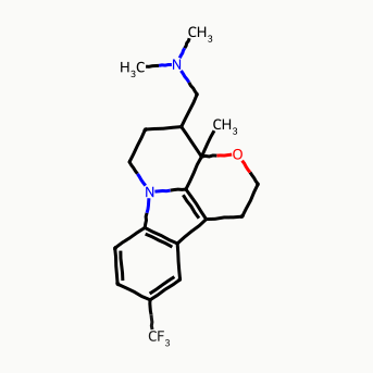 CN(C)CC1CCn2c3c(c4cc(C(F)(F)F)ccc42)CCOC31C